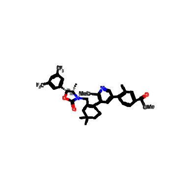 COC(=O)c1ccc(-c2cnc(OC)c(C3=C(CN4C(=O)O[C@H](c5cc(C(F)(F)F)cc(C(F)(F)F)c5)[C@@H]4C)CC(C)(C)CC3)c2)c(C)c1